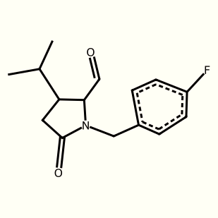 CC(C)C1CC(=O)N(Cc2ccc(F)cc2)C1C=O